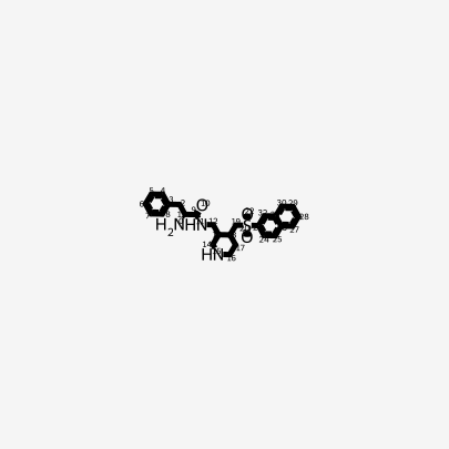 N[C@@H](Cc1ccccc1)C(=O)NCC1CNCCC1CS(=O)(=O)c1ccc2ccccc2c1